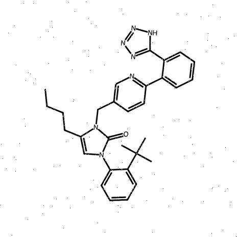 CCCCc1cn(-c2ccccc2C(C)(C)C)c(=O)n1Cc1ccc(-c2ccccc2-c2nnn[nH]2)nc1